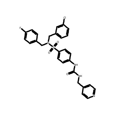 O=C(NCc1ccncc1)Nc1ccc(S(=O)(=O)N(Cc2ccc(F)cc2)Cc2cccc(Cl)c2)cc1